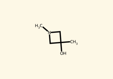 CN1CC(C)(O)C1